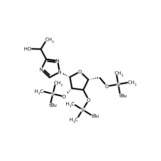 CC(O)c1ncn([C@@H]2O[C@H](CO[Si](C)(C)C(C)(C)C)C(O[Si](C)(C)C(C)(C)C)[C@@H]2O[Si](C)(C)C(C)(C)C)n1